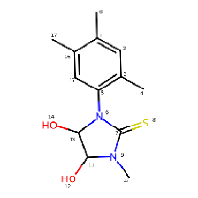 Cc1cc(C)c(N2C(=S)N(C)C(O)C2O)cc1C